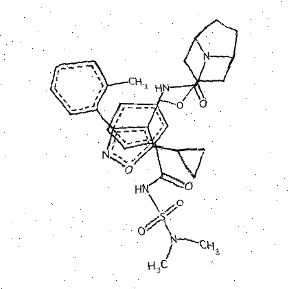 Cc1ccccc1-c1noc(C2CC2)c1COC1CC2CCC(C1)N2C(=O)Nc1cccc(C(=O)NS(=O)(=O)N(C)C)c1